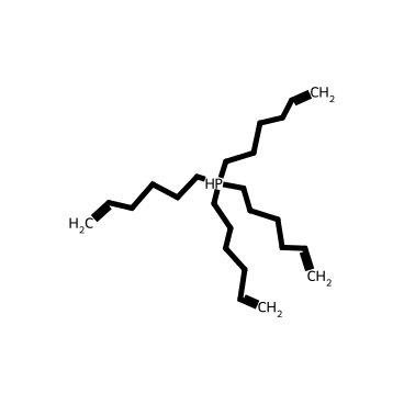 C=CCCCC[PH](CCCCC=C)(CCCCC=C)CCCCC=C